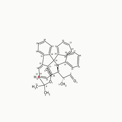 C[C@@H](C=O)[C@@H](C(=O)OC(C)(C)C)N(c1ccccc1)C1(c2ccccc2)c2ccccc2-c2ccccc21